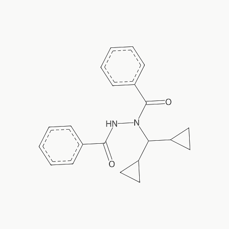 O=C(NN(C(=O)c1ccccc1)C(C1CC1)C1CC1)c1ccccc1